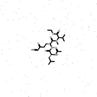 CCOC(=O)C(C(C)C)N(C)C(=O)[C@H](CCC(=O)C=N)NC(=O)[C@H](CC(C)C)NC(C)=O